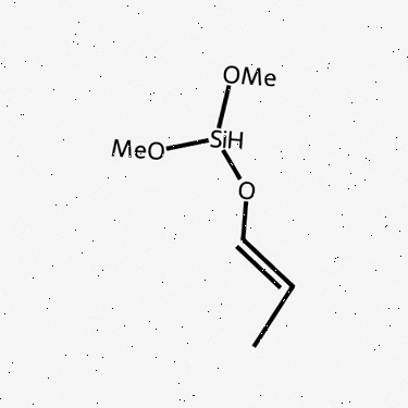 CC=CO[SiH](OC)OC